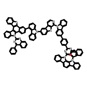 c1ccc(-c2nc(-c3ccc(-c4ccc5c(c4)c4ccccc4n5-c4nccc5c4sc4ccc(-n6c7ccccc7c7c(-c8ccc9c(c8)c8sc%10ccccc%10c8c8c%10ccccc%10n(-c%10nc(-c%11ccccc%11)c%11ccccc%11n%10)c98)cccc76)cc45)cc3)nc(-n3c4ccccc4c4ccc5c6ccccc6n(-c6ccccc6)c5c43)n2)cc1